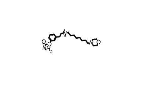 C[N+](C)(CCCCCCCCN1CCOCC1)CCc1cccc(OC(N)=O)c1